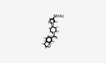 CC(=O)Nc1cnn(C2CCN(C(C)c3ccc4c(c3)OCC4)CC2)c1